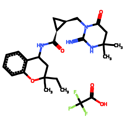 CCC1(C)CC(NC(=O)[C@@H]2C[C@H]2CN2C(=N)NC(C)(C)CC2=O)c2ccccc2O1.O=C(O)C(F)(F)F